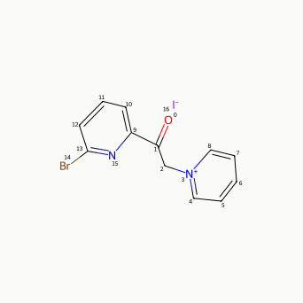 O=C(C[n+]1ccccc1)c1cccc(Br)n1.[I-]